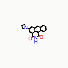 O=C1NC(=O)c2c3ccccc3cc3cc(N4CCC4)cc1c23